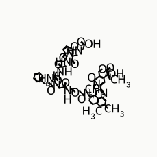 CC[C@@]1(O)C(=O)OCc2c1cc1n(c2=O)Cc2c-1nc1cc(C)c(C)c3c1c2[C@@H](N(C)C(=O)COCNC(=O)CNC(=O)[C@H](Cc1ccccc1)NC(=O)CNC(=O)CNC(=O)C(CNCC(=O)O)N1C(=O)C=CC1=O)CC3